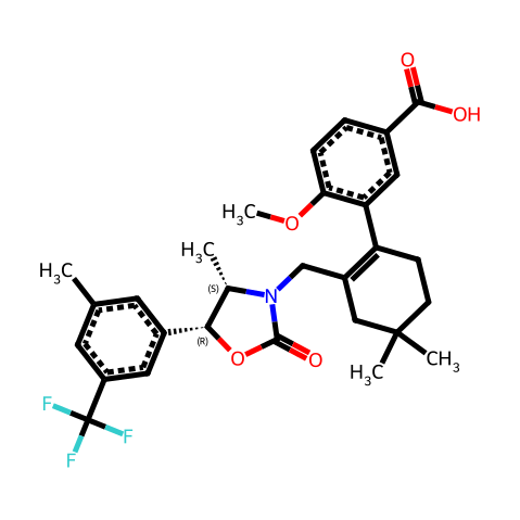 COc1ccc(C(=O)O)cc1C1=C(CN2C(=O)O[C@H](c3cc(C)cc(C(F)(F)F)c3)[C@@H]2C)CC(C)(C)CC1